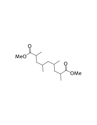 COC(=O)C(C)CC(C)CC(C)CC(C)C(=O)OC